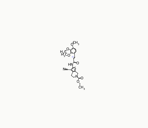 CCOC(=O)N1CCc2c(sc(NC(=O)/C=C/c3ccc(OC)c(OC)c3OC)c2C#N)C1